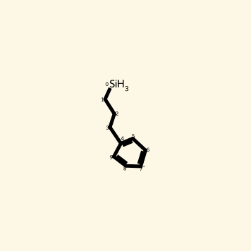 [SiH3]CCCc1cc[c]cc1